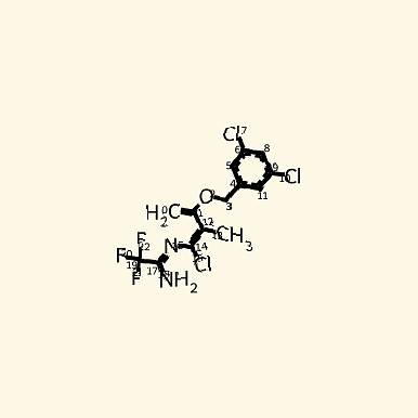 C=C(OCc1cc(Cl)cc(Cl)c1)/C(C)=C(Cl)\N=C(/N)C(F)(F)F